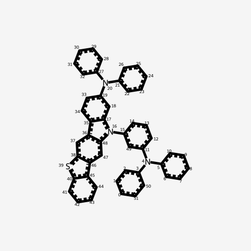 c1ccc(N(c2ccccc2)c2cccc(-n3c4cc(N(c5ccccc5)c5ccccc5)ccc4c4cc5sc6ccccc6c5cc43)c2)cc1